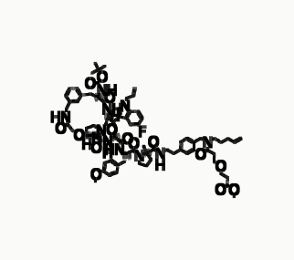 C=CCCCN(Cc1ccc(CCNC(=O)[C@]2(C)CCCN2C(=O)[C@H](Cc2ccc(OC)cc2)NC(=O)[C@@H]2CC(c3cn(CC=C)c4ccc(F)cc34)[C@@H]3NC(=O)[C@@H](NC(=O)OC(C)(C)C)Cc4cccc(c4)CNC(=O)CO[C@H]4CCN(C3=O)[C@@H]4C(=O)N2)cc1)C(=O)CCOCCC(=O)OC